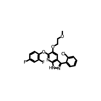 COCCOc1cc2c(-c3ccccc3Cl)n[nH]c2nc1Oc1ccc(F)cc1F